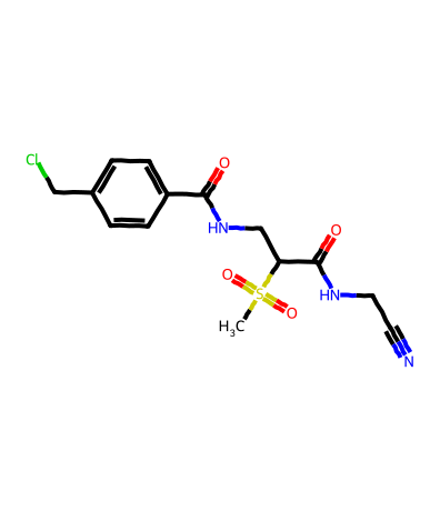 CS(=O)(=O)C(CNC(=O)c1ccc(CCl)cc1)C(=O)NCC#N